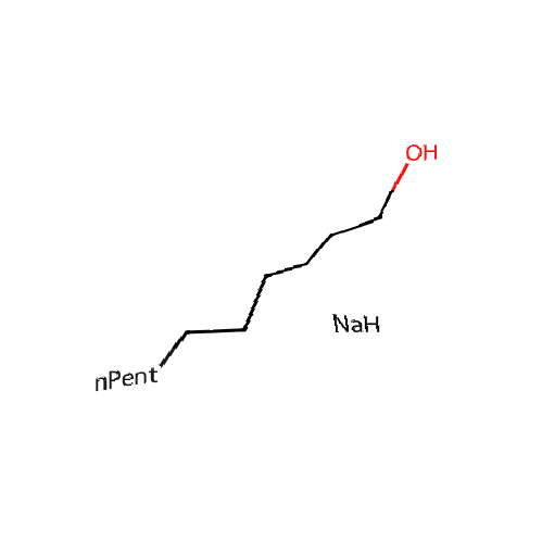 CCCCCCCCCCCO.[NaH]